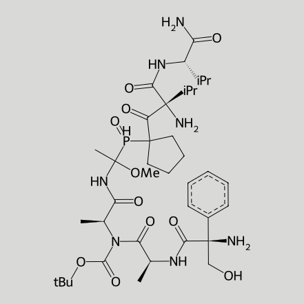 COC(C)(NC(=O)[C@H](C)N(C(=O)OC(C)(C)C)C(=O)[C@H](C)NC(=O)[C@@](N)(CO)c1ccccc1)[PH](=O)C1(C(=O)[C@@](N)(C(=O)N[C@H](C(N)=O)C(C)C)C(C)C)CCCC1